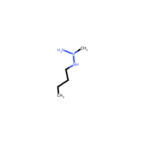 CCCCNN(C)N